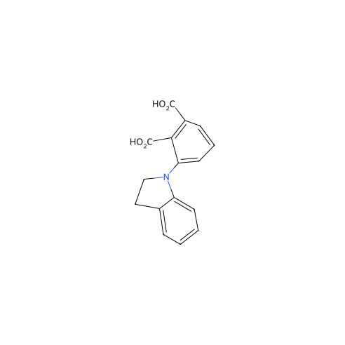 O=C(O)c1cccc(N2CCc3ccccc32)c1C(=O)O